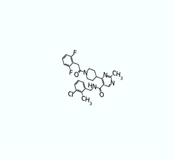 Cc1ncc(C(=O)NCc2cccc(Cl)c2C)c(C2CCN(C(=O)Cc3c(F)cccc3F)CC2)n1